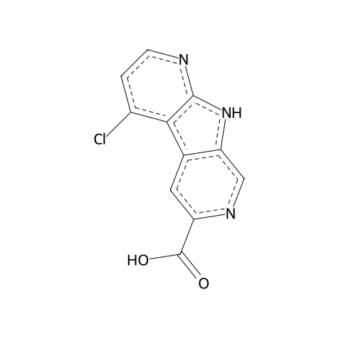 O=C(O)c1cc2c(cn1)[nH]c1nccc(Cl)c12